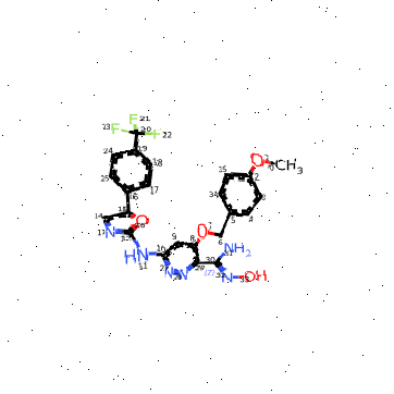 COc1ccc(COc2cc(Nc3ncc(-c4ccc(C(F)(F)F)cc4)o3)nnc2/C(N)=N/O)cc1